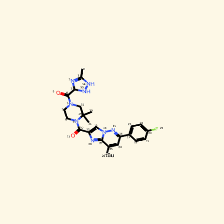 CC1=NC(C(=O)N2CCN(C(=O)c3cn4nc(-c5ccc(F)cc5)cc(C(C)(C)C)c4n3)C(C)(C)C2)NN1